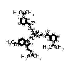 COc1ccc2c(c1)c(CCN(C)C)cn2COP(=O)(OCOC(=O)C1=CN(C(C)C)C=CC1)OCOC(=O)C1=CN(C(C)C)C=CC1